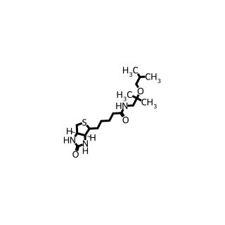 CC(C)COC(C)(C)CNC(=O)CCCCC1SC[C@@H]2NC(=O)N[C@H]12